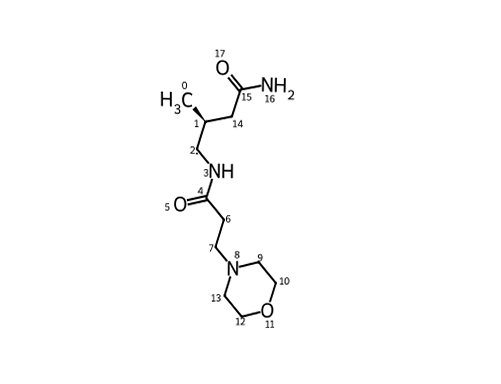 C[C@H]([CH]NC(=O)CCN1CCOCC1)CC(N)=O